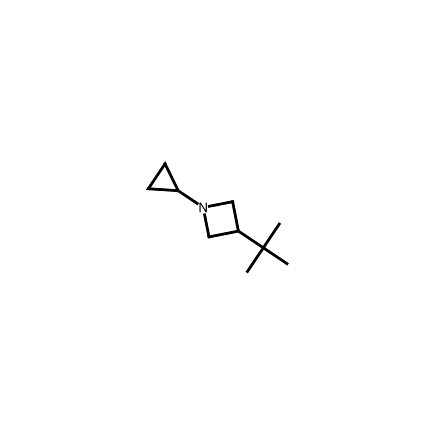 CC(C)(C)C1CN(C2CC2)C1